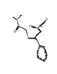 CN(C)C(=O)CSC(C[N+](=O)[O-])c1ccccc1